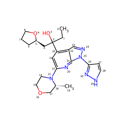 CCC(O)(C[C@H]1CCCO1)c1cc(N2CCOC[C@H]2C)nc2c1cnn2-c1cc[nH]n1